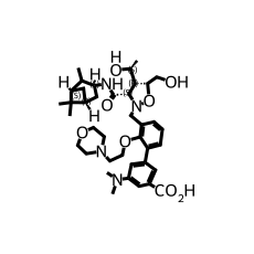 CC1[C@@H](NC(=O)[C@@H]2[C@H]([C@H](C)O)C(CO)ON2Cc2cccc(-c3cc(C(=O)O)cc(N(C)C)c3)c2OCCN2CCOCC2)C[C@H]2C[C@@H]1C2(C)C